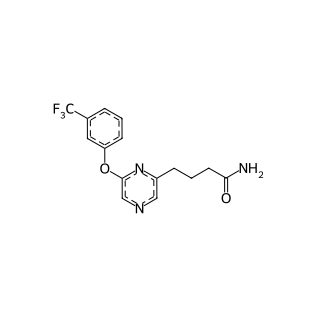 NC(=O)CCCc1cncc(Oc2cccc(C(F)(F)F)c2)n1